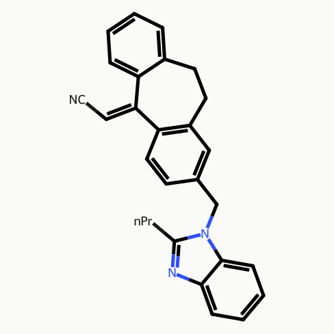 CCCc1nc2ccccc2n1Cc1ccc2c(c1)CCc1ccccc1/C2=C\C#N